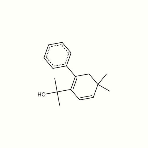 CC1(C)C=CC(C(C)(C)O)=C(c2ccccc2)C1